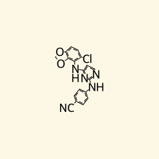 N#Cc1ccc(Nc2nccc(Nc3c(Cl)ccc4c3OCO4)n2)cc1